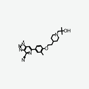 Cc1cc(-c2cc3c(nnn3C)c(C#N)n2)ccc1OCCC1CCN(CC(C)(C)O)CC1